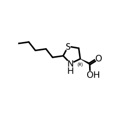 CCCCCC1N[C@H](C(=O)O)CS1